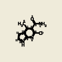 Cc1c(C(N)=O)c(Cl)nc2[nH]ccc12